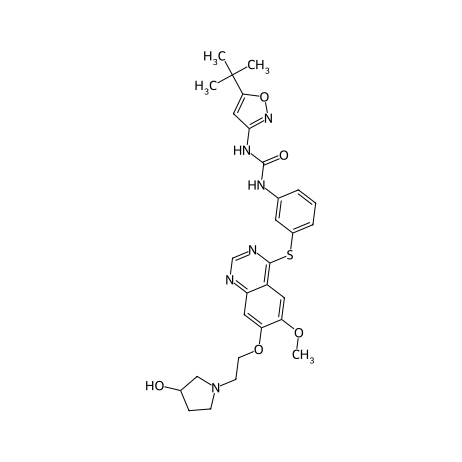 COc1cc2c(Sc3cccc(NC(=O)Nc4cc(C(C)(C)C)on4)c3)ncnc2cc1OCCN1CCC(O)C1